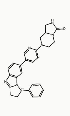 O=C1NCC2CN(c3ncc(-c4ccc5nc6n(c5c4)[C@@H](c4ccccc4)CC6)cn3)CCN12